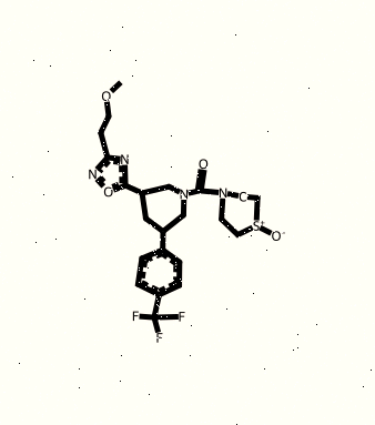 COCCc1noc(C2CC(c3ccc(C(F)(F)F)cc3)CN(C(=O)N3CC[S+]([O-])CC3)C2)n1